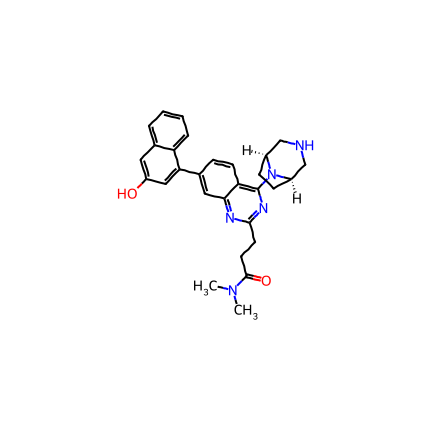 CN(C)C(=O)CCc1nc(N2[C@@H]3CC[C@H]2CNC3)c2ccc(-c3cc(O)cc4ccccc34)cc2n1